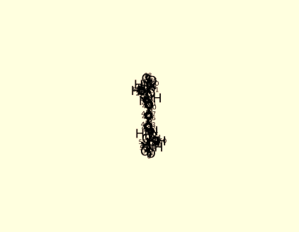 COC(=O)N[C@H](C(=O)N1[C@H](c2nc3cc(-c4ccc(-c5ccc6[nH]c([C@@H]7C[C@@H]8C[C@@H]8N7C(=O)[C@@H](NC(=O)OC)C(C)C)nc6c5)cc4)ccc3[nH]2)C[C@@H]2C[C@@H]21)C(C)C